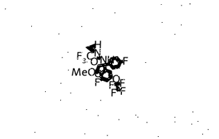 COC(=O)CC(NC(=O)NC1(C(F)(F)F)CC1)(c1ccc(F)cc1)c1cc(F)cc(OC(F)(F)C(F)F)c1